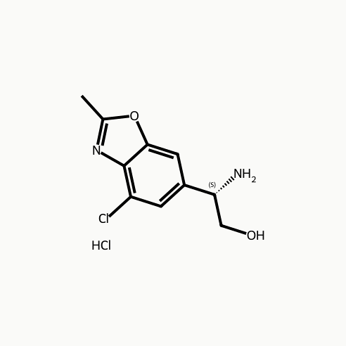 Cc1nc2c(Cl)cc([C@H](N)CO)cc2o1.Cl